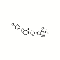 CN(C)C1CN(c2ccc(-n3ccc4cc(-c5ccc(Cl)cc5)sc4c3=O)cn2)CC1O